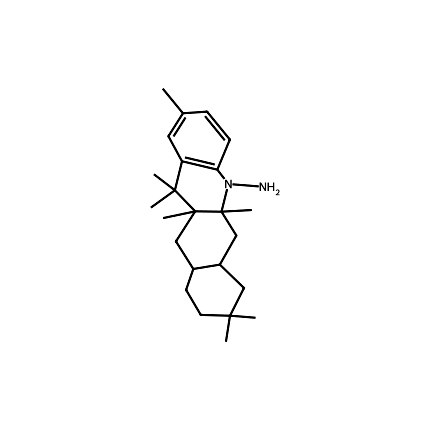 Cc1ccc2c(c1)C(C)(C)C1(C)CC3CCC(C)(C)CC3CC1(C)N2N